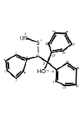 O=NS[C@@H](c1ccccc1)C(O)(c1ccccc1)c1ccccc1